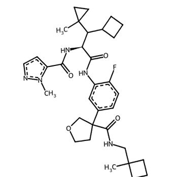 Cn1nccc1C(=O)N[C@H](C(=O)Nc1cc(C2(C(=O)NCC3(C)CCC3)CCOC2)ccc1F)C(C1CCC1)C1(C)CC1